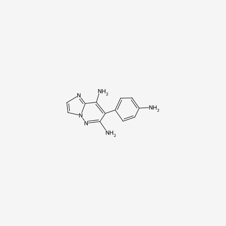 Nc1ccc(-c2c(N)nn3ccnc3c2N)cc1